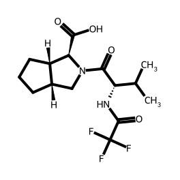 CC(C)[C@H](NC(=O)C(F)(F)F)C(=O)N1C[C@@H]2CCC[C@@H]2[C@H]1C(=O)O